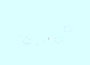 Cc1ccc(Cc2ccc(OC(=O)N3CCN(Cc4ccc(C(=O)O)cn4)CC3)cc2)nc1